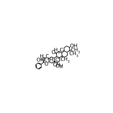 CC1(C=O)CC2C3C(=O)CC4C5(C)CCC(O)C(C)(C)C5CCC4(C)C3(C)CC(O)C2(C)CC1OC(=O)c1ccccc1